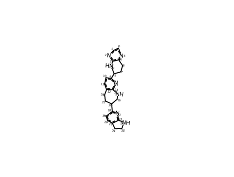 c1cnc2c(n1)CCC(c1ccc3c(n1)NCC(c1ccc4c(n1)NCC4)CC3)N2